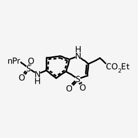 CCCS(=O)(=O)Nc1ccc2c(c1)S(=O)(=O)C=C(CC(=O)OCC)N2